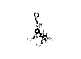 CCCOc1ccc(S(=O)(=O)NCCCN2CCOCC2)cc1-c1[nH]c2c(=O)n(C)c(=O)n(CCC)c2c1Br